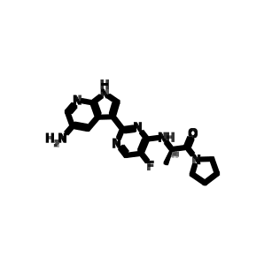 C[C@@H](Nc1nc(-c2c[nH]c3ncc(N)cc23)ncc1F)C(=O)N1CCCC1